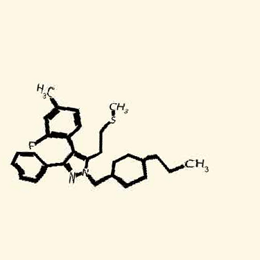 CCCC1CCC(Cn2nc(-c3ccccc3)c(-c3ccc(C)cc3F)c2CCSC)CC1